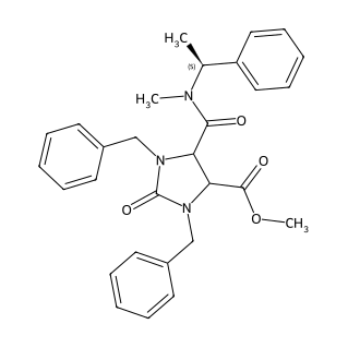 COC(=O)C1C(C(=O)N(C)[C@@H](C)c2ccccc2)N(Cc2ccccc2)C(=O)N1Cc1ccccc1